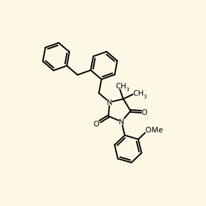 COc1ccccc1N1C(=O)N(Cc2ccccc2Cc2ccccc2)C(C)(C)C1=O